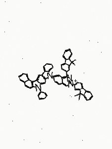 CC1(C)c2ccccc2-c2ccc(-c3n[n+](-c4ccc5c(c4)C(C)(C)c4ccccc4-5)cc4ccc(-n5c6ccccc6c6cc7c8c9ccccc9ccc8n(-c8ccccc8)c7cc65)cc34)cc21